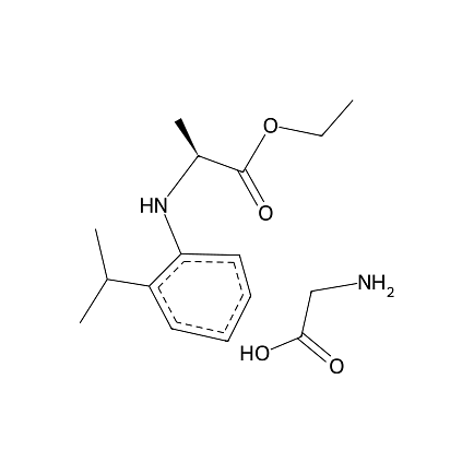 CCOC(=O)[C@H](C)Nc1ccccc1C(C)C.NCC(=O)O